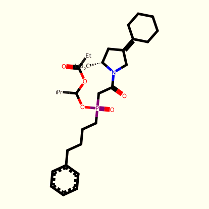 CCC(=O)OC(OP(=O)(CCCCc1ccccc1)CC(=O)N1CC(=C2CCCCC2)C[C@H]1C(=O)O)C(C)C